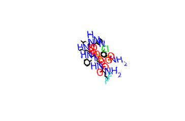 CC[C@H](C)[C@H](NC(=O)[C@H](CC(C)C)NC(=O)c1cnccn1)C(=O)N[C@@H](CC1CCCCC1)C(=O)N(CC(=O)NC(=O)C(=O)[C@@H](N)CC(F)F)S(=O)(=O)c1cc(Cl)cc(S(N)(=O)=O)c1